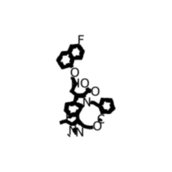 CCc1c2c(nn1C)COCc1ccccc1Cn1c(C(=O)O)c(CCCOc3cccc4cc(F)ccc34)c3ccc(F)c-2c31